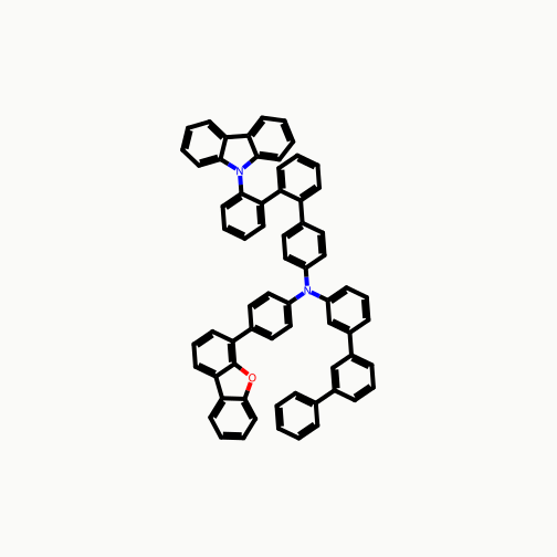 c1ccc(-c2cccc(-c3cccc(N(c4ccc(-c5ccccc5-c5ccccc5-n5c6ccccc6c6ccccc65)cc4)c4ccc(-c5cccc6c5oc5ccccc56)cc4)c3)c2)cc1